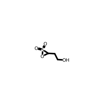 O=S1(=O)O[C]1CCO